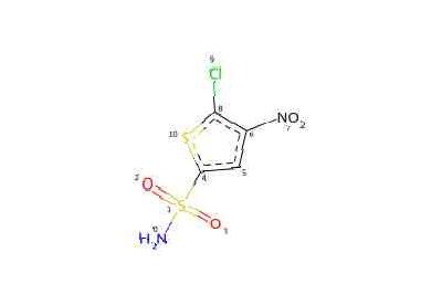 NS(=O)(=O)c1cc([N+](=O)[O-])c(Cl)s1